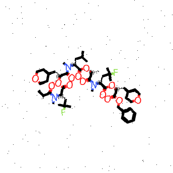 C[CH]C(=O)N(C)[C@@H](CC(C)(C)F)C(=O)O[C@H](CC1CCOCC1)C(=O)N(C)[C@@H](CC(C)C)C(=O)O[C@H](C)C(=O)N(C)[C@@H](CC(C)(C)F)C(=O)O[C@H](CC1=CCOCC1)C(=O)OCc1ccccc1